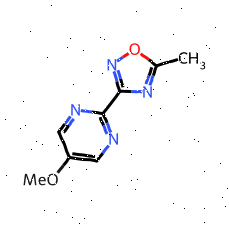 COc1cnc(-c2noc(C)n2)nc1